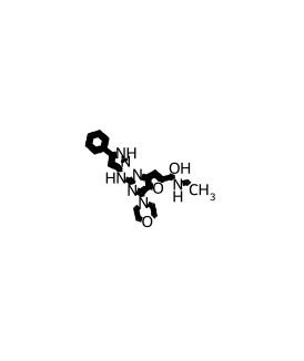 CCNC(O)c1cc2nc(Nc3cc(-c4ccccc4)[nH]n3)nc(N3CCOCC3)c2o1